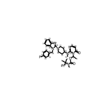 CC(OC(=O)N(C)C(C)(C)C(C)C)n1c(N(C)C2CCN(c3nc4ccccc4n3Cc3ccc(F)cc3)CC2)nccc1=O